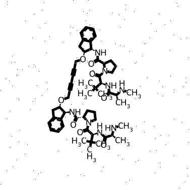 CN[C@@H](C)C(=O)N[C@H](C(=O)N1CCCC1C(=O)N[C@H]1c2ccccc2C[C@H]1OCC#CC#CCO[C@H]1Cc2ccccc2[C@@H]1NC(=O)[C@@H]1CCCN1C(=O)[C@@H](NC(=O)[C@H](C)NC)C(C)(C)C)C(C)(C)C